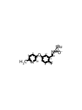 Cc1ccc(Oc2ccc(F)c(C=N[S@+]([O-])C(C)(C)C)c2)cn1